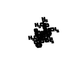 COc1ccnc(C(=O)N[C@H](CC=O)C(=O)C(=O)[C@H](C)[C@H](OC(=O)C(C)C)[C@H](C=O)Cc2ccccc2)c1OCOC(=O)C(C)C